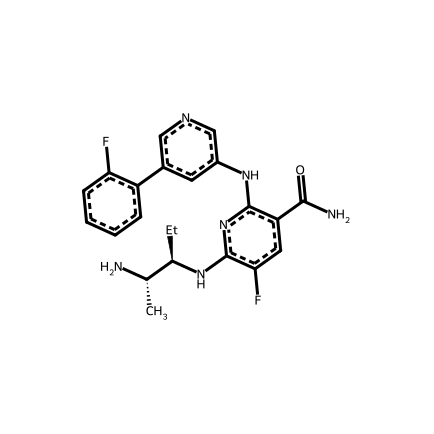 CC[C@@H](Nc1nc(Nc2cncc(-c3ccccc3F)c2)c(C(N)=O)cc1F)[C@H](C)N